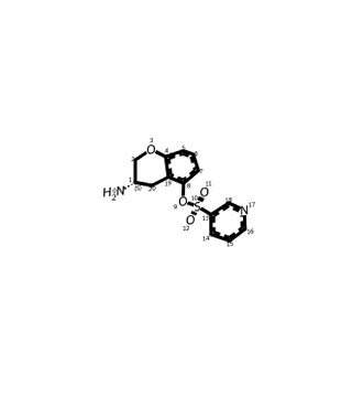 N[C@@H]1COc2cccc(OS(=O)(=O)c3cccnc3)c2C1